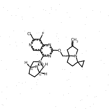 C=C1CN2C3(CC3)CCC2(COc2nc(N3C[C@H]4CC[C@@H](C3)N4C(=O)O)c3cnc(Cl)c(F)c3n2)C1